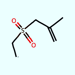 [CH2]CS(=O)(=O)CC(=C)C